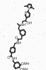 COc1ccc(CNC(=O)c2ccc(CNC(=O)Cc3cccc(CC(C)NCC(O)c4ccc(-n5c(C)ccc5C)nc4)c3)cc2)cc1OC